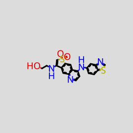 O=S1(=O)C=C(NCCO)c2cc3nccc(Nc4ccc5scnc5c4)c3cc21